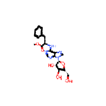 COC(=O)[C@@H](Cc1ccccc1)Nc1ncnc2c1ncn2[C@@H]1O[C@H](CO)C(O)[C@@H]1O